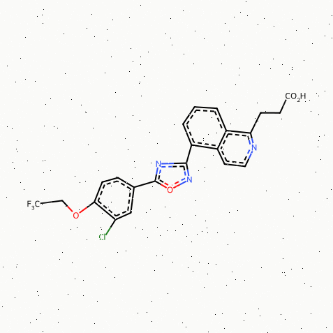 O=C(O)CCc1nccc2c(-c3noc(-c4ccc(OCC(F)(F)F)c(Cl)c4)n3)cccc12